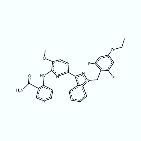 CCOc1cc(F)c(Cn2nc(-c3ncc(OC)c(Nc4ccncc4C(N)=O)n3)c3ccccc32)c(F)c1